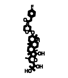 C[C@@H]1CC(C(O)C(C)(C)O)OC2C1C1(C)CCC34CC35CCC(OC3CN(C(=O)Cc6ccc(F)cc6)CCO3)C(C)(C)[C@@H]5CCC4[C@]1(C)[C@H]2O